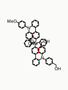 COc1ccc(N(c2ccc(OC)cc2)c2ccccc2-c2ccc3c(c2)-c2ccccc2S32(=O)c3ccccc3-c3cc(-c4ccccc4N(c4ccc(CO)cc4)c4ccc(CO)cc4)ccc32)cc1